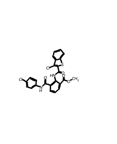 COC(=O)c1cccc(C(=O)Nc2ccc(Cl)cc2)c1NC(=O)c1sc2ccccc2c1Cl